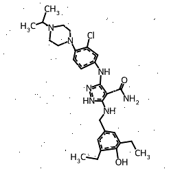 CCc1cc(CNc2[nH]nc(Nc3ccc(N4CCN(C(C)C)CC4)c(Cl)c3)c2C(N)=O)cc(CC)c1O